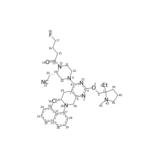 CCC1(COc2nc3c(c(N4CCN(C(=O)CCCF)[C@@H](CC#N)C4)n2)CCN(c2cccc4cccc(Cl)c24)C3)CCCN1C